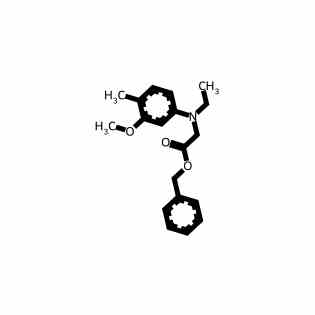 CCN(CC(=O)OCc1ccccc1)c1ccc(C)c(OC)c1